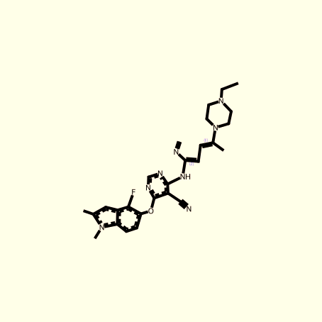 C=N/C(=C\C=C(/C)N1CCN(CC)CC1)Nc1ncnc(Oc2ccc3c(cc(C)n3C)c2F)c1C#N